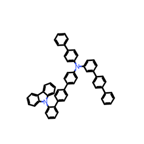 c1ccc(-c2ccc(-c3cccc(N(c4ccc(-c5ccccc5)cc4)c4ccc(-c5ccc(-c6ccccc6-n6c7ccccc7c7ccccc76)cc5)cc4)c3)cc2)cc1